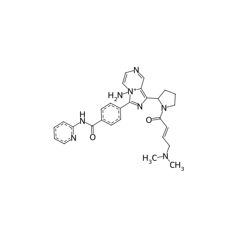 CN(C)CC=CC(=O)N1CCCC1C1=C2C=NC=C[N+]2(N)C(c2ccc(C(=O)Nc3ccccn3)cc2)=N1